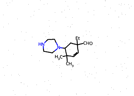 CCC1(C=O)C=CC(C)(C)C(N2CCNCC2)C1